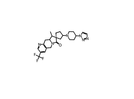 CC1C2Cc3ncc(C(F)(F)F)cc3CN2C(=O)[C@]12CCC(N1CCC(n3ccnn3)CC1)C2